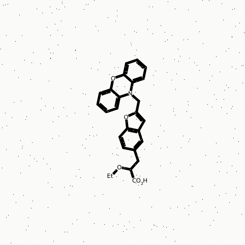 CCOC(Cc1ccc2oc(CN3c4ccccc4Oc4ccccc43)cc2c1)C(=O)O